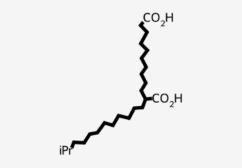 CC(C)CCCCCCCCCCC(CCCCCCCCCC(=O)O)C(=O)O